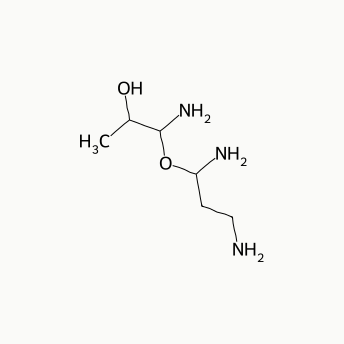 CC(O)C(N)OC(N)CCN